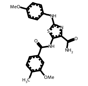 COc1ccc(Nc2nc(C(N)=O)c(NC(=O)c3ccc(C)c(OC)c3)s2)cc1